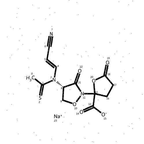 CC(=S)N(C=CC#N)[C@H]1CON(C2(C(=O)[O-])CCC(=O)O2)C1=O.[Na+]